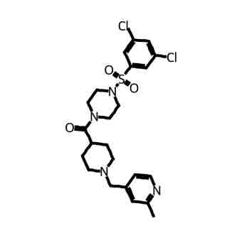 Cc1cc(CN2CCC(C(=O)N3CCN(S(=O)(=O)c4cc(Cl)cc(Cl)c4)CC3)CC2)ccn1